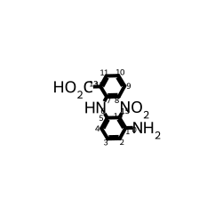 Nc1cccc(Nc2ccccc2C(=O)O)c1[N+](=O)[O-]